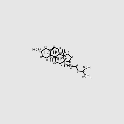 CC(O)CCC[C@H]1CC[C@H]2[C@@H]3CC=C4C[C@@H](O)CC[C@@H]4[C@H]3CC[C@]12C